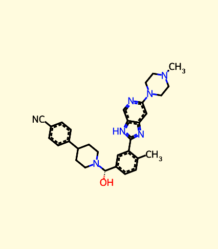 Cc1ccc([C@H](O)N2CCC(c3ccc(C#N)cc3)CC2)cc1-c1nc2cc(N3CCN(C)CC3)ncc2[nH]1